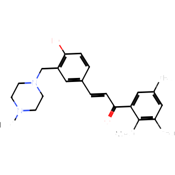 COc1c(C(=O)C=Cc2ccc(O)c(CN3CCN(C)CC3)c2)cc(C(C)(C)C)cc1C(C)(C)C